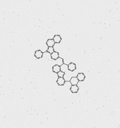 C(=C(\c1ccccc1)c1cccc2c1sc1c(C3Cc4ccccc4-c4ccccc43)cccc12)/c1ccc2c(c1)c1c3ccccc3ccc1n2-c1ccccc1